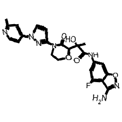 Cc1cc(-n2ccc(N3CCOC(C(C)(O)C(=O)Nc4cc(F)c5c(N)noc5c4)C3=O)n2)ccn1